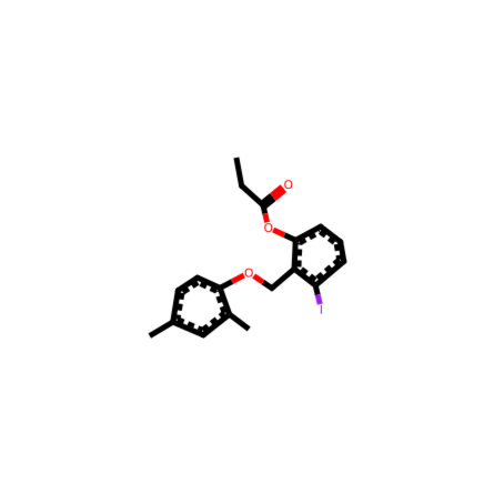 CCC(=O)Oc1cccc(I)c1COc1ccc(C)cc1C